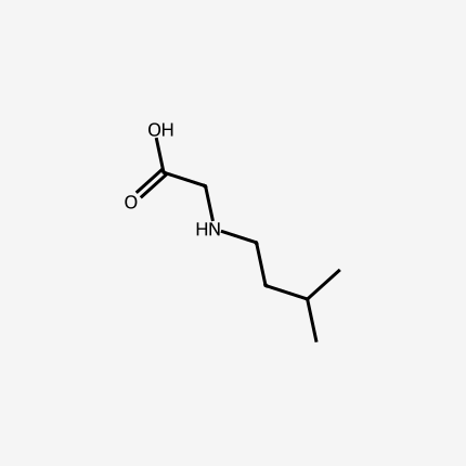 CC(C)CCNCC(=O)O